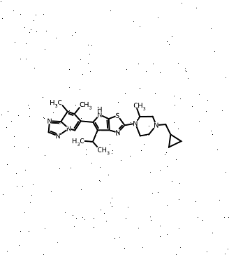 Cc1c(-c2[nH]c3sc(N4CCN(CC5CC5)CC4C)nc3c2C(C)C)cn2ncnc2c1C